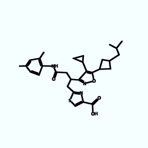 Cc1ccc(NC(=O)CC(Cc2nc(C(=O)O)cs2)c2noc(C3CC(CC(C)C)C3)c2C2CC2)c(C)c1